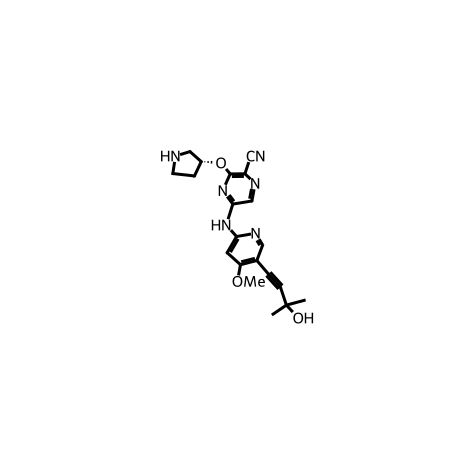 COc1cc(Nc2cnc(C#N)c(O[C@@H]3CCNC3)n2)ncc1C#CC(C)(C)O